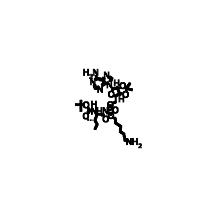 CC[C@H](C)[C@H](NC(=O)OC(C)(C)C)C(=O)NP(=O)(OCCCCCCN)OC[C@H]1O[C@@H](n2cnc3c(N)ncnc32)[C@@H]2OC(C)(C)O[C@@H]21